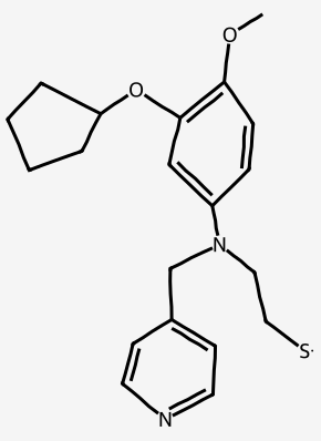 COc1ccc(N(CC[S])Cc2ccncc2)cc1OC1CCCC1